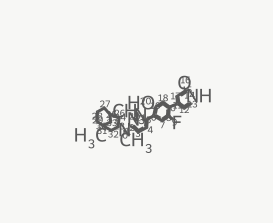 CN(c1ccc(-c2cc(F)c(-c3cc[nH]c(=O)c3)cc2O)nn1)[C@H]1C[C@]2(C)CCC[C@](C)(C1)C2